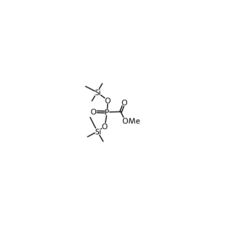 COC(=O)P(=O)(O[Si](C)(C)C)O[Si](C)(C)C